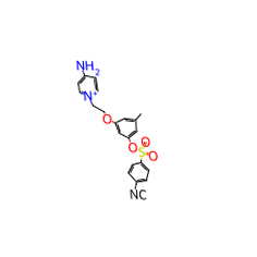 [C-]#[N+]c1ccc(S(=O)(=O)Oc2cc(C)cc(OCC[n+]3ccc(N)cc3)c2)cc1